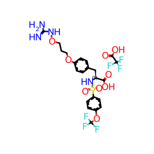 N=C(N)NOCCCOc1ccc(C[C@H](NS(=O)(=O)c2ccc(OC(F)(F)F)cc2)C(=O)O)cc1.O=C(O)C(F)(F)F